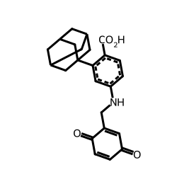 O=C1C=CC(=O)C(CNc2ccc(C(=O)O)c(C34CC5CC(CC(C5)C3)C4)c2)=C1